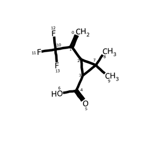 C=C(C1C(C(=O)O)C1(C)C)C(F)(F)F